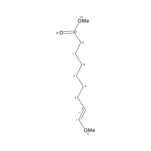 CO/C=C/CCCCCCC(=O)OC